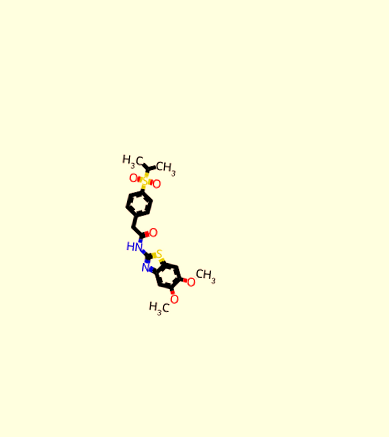 COc1cc2nc(NC(=O)Cc3ccc(S(=O)(=O)C(C)C)cc3)sc2cc1OC